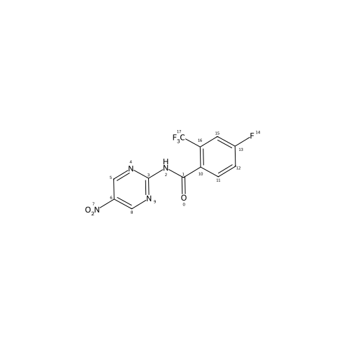 O=C(Nc1ncc([N+](=O)[O-])cn1)c1ccc(F)cc1C(F)(F)F